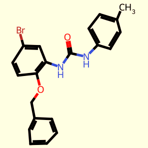 Cc1ccc(NC(=O)Nc2cc(Br)ccc2OCc2ccccc2)cc1